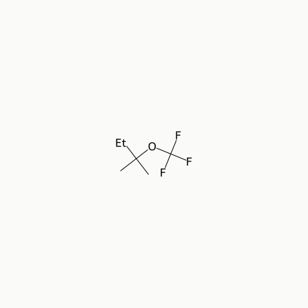 CCC(C)(C)OC(F)(F)F